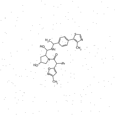 Cc1cc(C(C(=O)N2CC(O)CC2C(O)NC(C)c2ccc(-c3scnc3C)cc2)C(C)C)on1